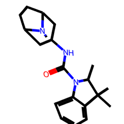 CC1N(C(=O)NC2CC3CCC(C2)N3C)c2ccccc2C1(C)C